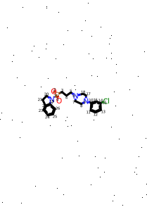 O=S(=O)(CCCN1CCN(c2cccc(Cl)c2)CC1)N1CCc2ccccc21